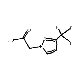 O=C(O)Cn1c[c]c(C(F)(F)F)n1